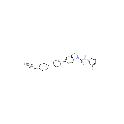 O=C(O)CC1CCC(c2ccc(-c3ccc4c(c3)CCN4C(=O)Nc3cc(F)cc(F)c3)cc2)CC1